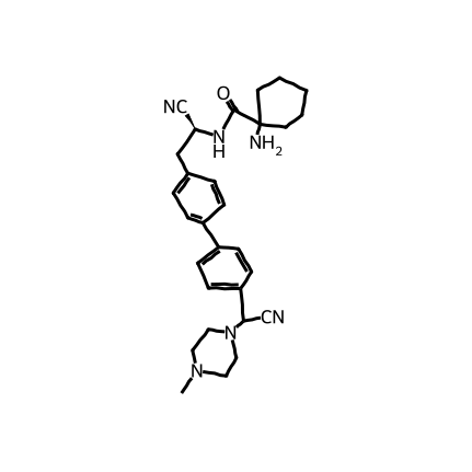 CN1CCN(C(C#N)c2ccc(-c3ccc(C[C@@H](C#N)NC(=O)C4(N)CCCCC4)cc3)cc2)CC1